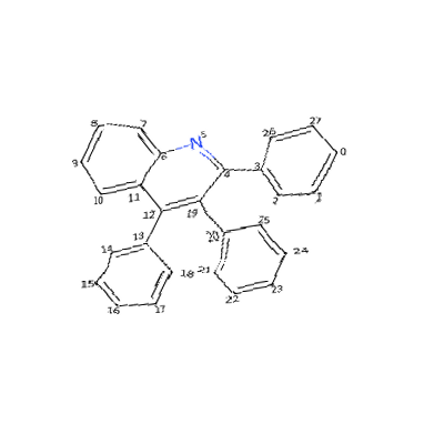 c1ccc(-c2nc3ccccc3c(-c3ccccc3)c2-c2ccccc2)cc1